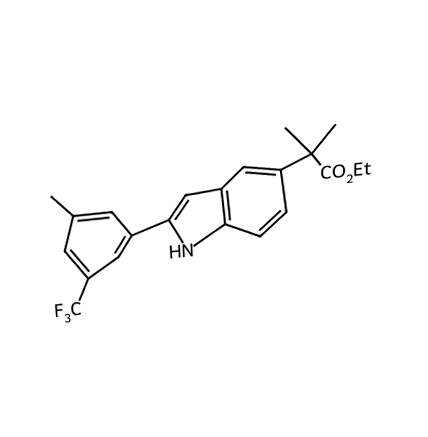 CCOC(=O)C(C)(C)c1ccc2[nH]c(-c3cc(C)cc(C(F)(F)F)c3)cc2c1